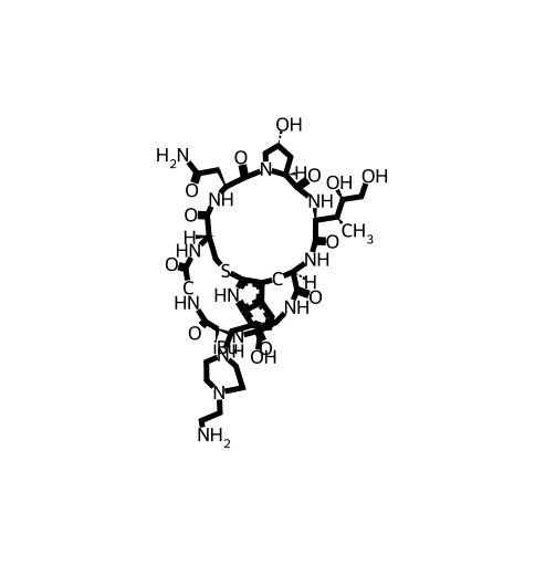 CC[C@H](C)[C@@H]1NC(=O)CNC(=O)[C@H]2Cc3c([nH]c4c(CN5CCN(CCN)CC5)c(O)ccc34)SC[C@H](NC(=O)CNC1=O)C(=O)N[C@@H](CC(N)=O)C(=O)N1C[C@H](O)C[C@H]1C(=O)N[C@@H]([C@@H](C)[C@@H](O)CO)C(=O)N2